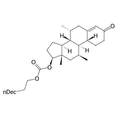 CCCCCCCCCCCCOC(=O)O[C@H]1CC[C@H]2[C@H]3[C@H]([C@@H](C)C[C@]12C)[C@H]1CCC(=O)C=C1C[C@H]3C